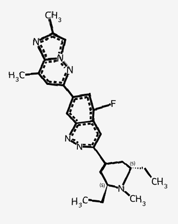 CC[C@H]1CC(c2cc3c(F)cc(-c4cc(C)c5nc(C)cn5n4)cc3nn2)C[C@H](CC)N1C